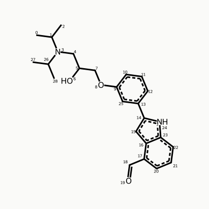 CC(C)N(CC(O)COc1cccc(-c2cc3c(C=O)cccc3[nH]2)c1)C(C)C